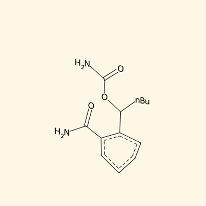 CCCCC(OC(N)=O)c1ccccc1C(N)=O